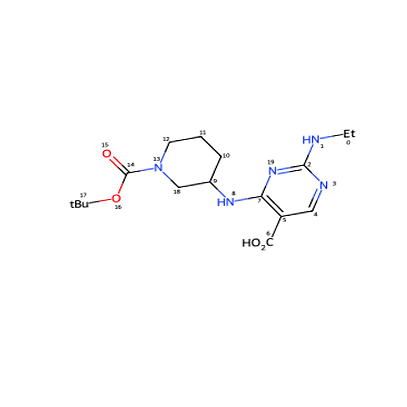 CCNc1ncc(C(=O)O)c(NC2CCCN(C(=O)OC(C)(C)C)C2)n1